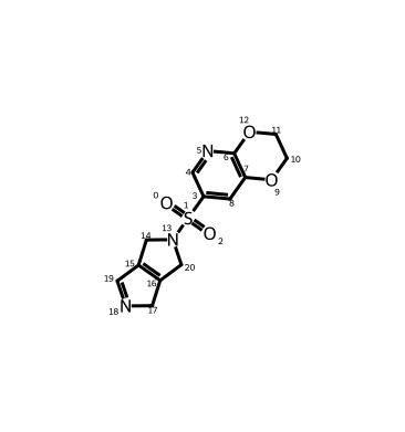 O=S(=O)(c1cnc2c(c1)OCCO2)N1CC2=C(CN=C2)C1